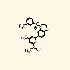 CN(C)c1cc(C(F)(F)F)cc(-c2ccc3c(c2)N(S(=O)(=O)c2cccc(C(F)(F)F)c2)CCO3)n1